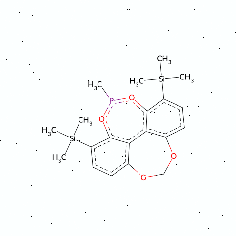 Cp1oc2c([Si](C)(C)C)ccc3c2c2c(ccc([Si](C)(C)C)c2o1)OCO3